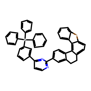 c1ccc([Si](c2ccccc2)(c2ccccc2)c2cccc(-c3ccnc(-c4ccc5c(c4)CCc4ccc6sc7ccccc7c6c4-5)n3)c2)cc1